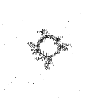 C[C@@H](O)[C@@H]1NC(=O)[C@@H](NC(=O)[C@H](CS)NC(=O)CN)CCC(=O)NCCCC[C@H](C(=O)N[C@@H](Cc2ccc(O)cc2)C(N)=O)NC(=O)[C@H](CCC(N)=O)NC(=O)C(Cc2ccc(O)c(I)c2)NC(=O)[C@H](CCCNC(N)=O)NC(=O)[C@H](CS)NC(=O)[C@H](CCCNC(=N)N)NC(=O)[C@@H]2CCCN2C(=O)[C@H](CC(=O)O)NC1=O